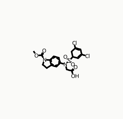 COC(=O)N1CCc2cc(N(CC(=O)O)S(=O)(=O)C3C=C(Cl)C=C(Cl)C3)ccc21